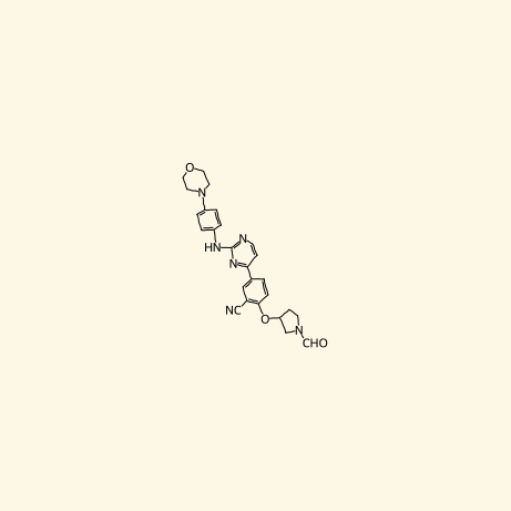 N#Cc1cc(-c2ccnc(Nc3ccc(N4CCOCC4)cc3)n2)ccc1OC1CCN(C=O)C1